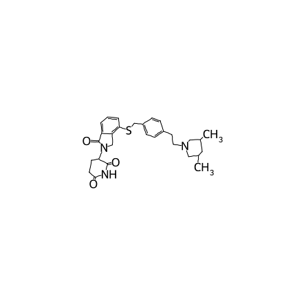 CC1CC(C)CN(CCc2ccc(CSc3cccc4c3CN(C3CCC(=O)NC3=O)C4=O)cc2)C1